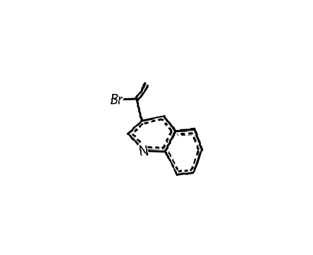 C=C(Br)c1cnc2ccccc2c1